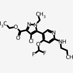 CCCNc1cc(OC(F)F)c(-c2c(Cl)c(C(=O)OCC)nn2CC)cn1